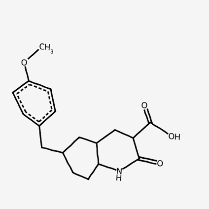 COc1ccc(CC2CCC3NC(=O)C(C(=O)O)CC3C2)cc1